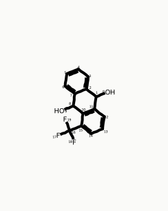 OC1c2ccccc2C(O)c2c1cccc2C(F)(F)F